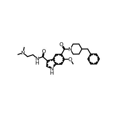 COc1cc2[nH]cc(C(=O)NCCN(C)C)c2cc1C(=O)N1CCC(Cc2ccccc2)CC1